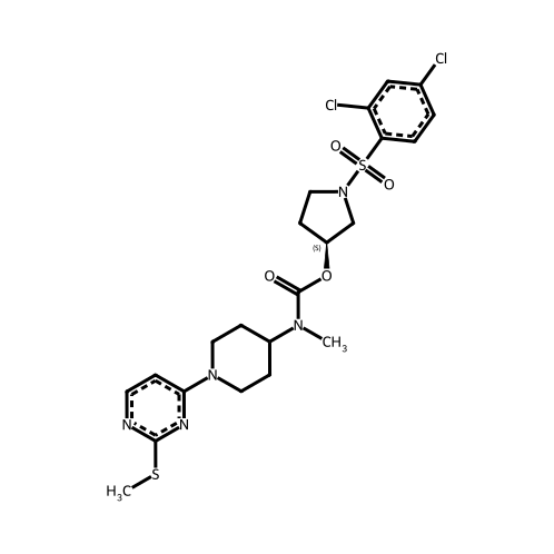 CSc1nccc(N2CCC(N(C)C(=O)O[C@H]3CCN(S(=O)(=O)c4ccc(Cl)cc4Cl)C3)CC2)n1